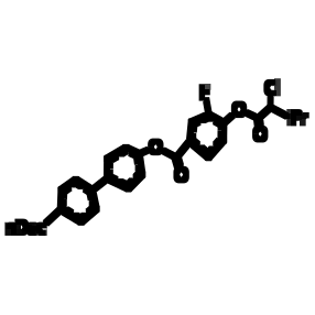 CCCCCCCCCCc1ccc(-c2ccc(OC(=O)c3ccc(OC(=O)C(Cl)C(C)C)c(F)c3)cc2)cc1